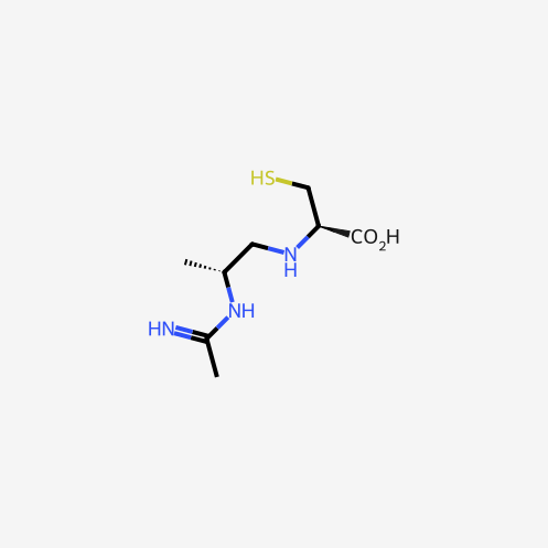 CC(=N)N[C@H](C)CN[C@@H](CS)C(=O)O